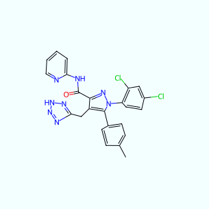 Cc1ccc(-c2c(Cc3nn[nH]n3)c(C(=O)Nc3ccccn3)nn2-c2ccc(Cl)cc2Cl)cc1